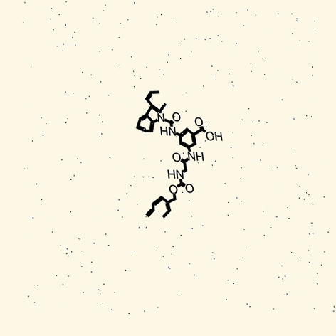 C=C/C=C\C(=C/C)COC(=O)NCC(=O)Nc1cc(NC(=O)n2c(C)c(/C=C\C)c3ccccc32)cc(C(=O)O)c1